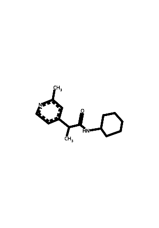 Cc1cc(C(C)C(=O)NC2CCCCC2)ccn1